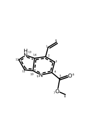 C=Cc1cc(C(=O)OC)nc2cc[nH]c12